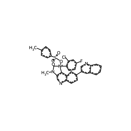 Cc1ccc(S(=O)(=O)O[N+]2(c3ccc(F)cc3Cl)C(=O)N(C)c3cnc4ccc(-c5cnc6ccccc6c5)cc4c32)cc1